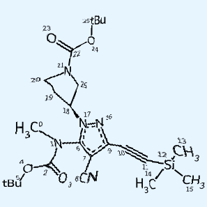 CN(C(=O)OC(C)(C)C)c1c(C#N)c(C#C[Si](C)(C)C)nn1[C@H]1CCN(C(=O)OC(C)(C)C)C1